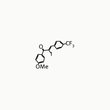 COc1ccc(C(=O)C(I)=Cc2ccc(C(F)(F)F)cc2)cc1